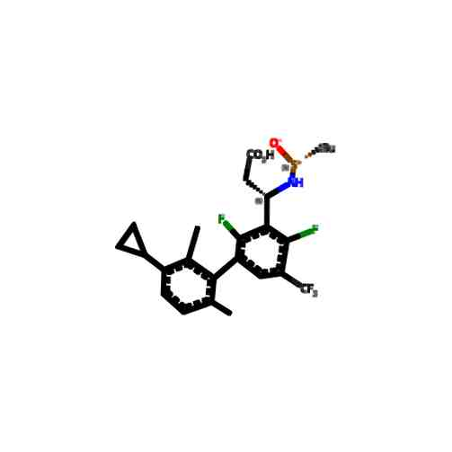 Cc1ccc(C2CC2)c(C)c1-c1cc(C(F)(F)F)c(F)c([C@H](CC(=O)O)N[S@+]([O-])C(C)(C)C)c1F